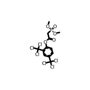 COP(=O)(CC(=O)Oc1ccc(C(Cl)(Cl)Cl)cc1C(Cl)(Cl)Cl)OC